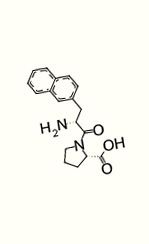 N[C@H](Cc1ccc2ccccc2c1)C(=O)N1CCC[C@H]1C(=O)O